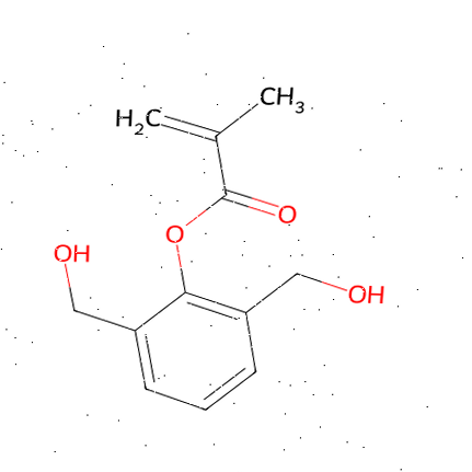 C=C(C)C(=O)Oc1c(CO)cccc1CO